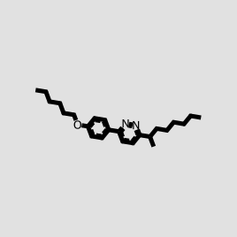 CCCCCCOc1ccc(-c2ccc(C(C)CCCCCC)nn2)cc1